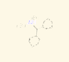 C=C(c1ccccc1)c1ccccc1.CCCCNCCCC